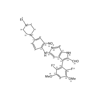 CCN1CCN(c2ccc(Nc3cc4c(-c5c(F)c(OC)cc(OC)c5F)c(C=O)[nH]c4cn3)c([N+](=O)[O-])c2)CC1